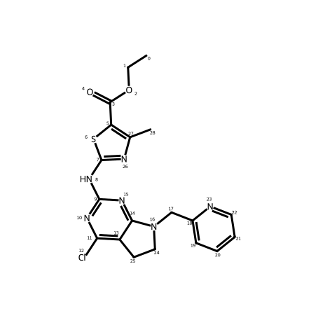 CCOC(=O)c1sc(Nc2nc(Cl)c3c(n2)N(Cc2ccccn2)CC3)nc1C